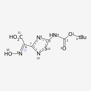 CC(C)(C)OC(=O)Nc1nc(/C(=N/O)C(=O)O)ns1